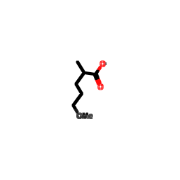 COCCCC(C)C([O])=O